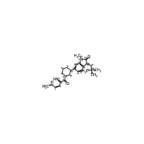 CN/C=C\C(=N)C(=O)N1CCCC(c2ccc3c(n2)n(C)c(=O)n3CC(C)(C)C)C1